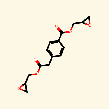 O=C(Cc1ccc(C(=O)OCC2CO2)cc1)OCC1CO1